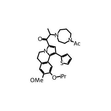 COc1cc2c(cc1OC(C)C)-c1c(-c3cccs3)cc(C(=O)C(C)N3CCCN(C(C)=O)CC3)n1CC2